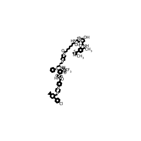 Cc1ncsc1-c1ccc([C@H](C)NC(=O)C2CC(O)CN2C(=O)[C@@H](NC(=O)CCCCCCC(=O)N2CC3CN(CC[C@H](CSc4ccccc4)Nc4ccc(S(=O)(=O)NC(=O)c5ccc(N6CCN(CC7=C(c8ccc(Cl)cc8)CCC8(CC8)C7)CC6)cc5)cc4S(=O)(=O)C(F)(F)F)CC3C2)C(C)(C)C)cc1